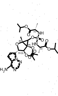 CC(=O)O[C@H]1[C@H](c2ccc3c(N)ncnn23)O[C@]2(C)C(OP(=O)(N[C@@H](C)C(=O)OC(C)C)N[C@@H](C)C(=O)OC(C)C)[C@]12OC(C)=O